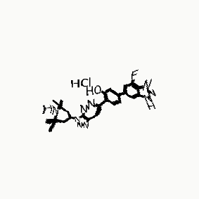 CC1(C)CC(n2nnc3cc(-c4ccc(-c5cc(F)c6nn[nH]c6c5)cc4O)nnc32)CC(C)(C)N1.Cl